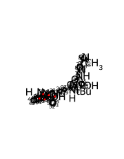 Cc1ncsc1-c1ccc(CNC(=O)[C@@H]2C[C@@H](O)CN2C(=O)[C@@H](NC(=O)[C@H]2CC3(C2)C[C@H](N2CCC(c4ccc(N5C6CCC5CN(c5cc(-c7ccccc7O)nnc5N)C6)cc4)CC2)C3)C(C)(C)C)nc1